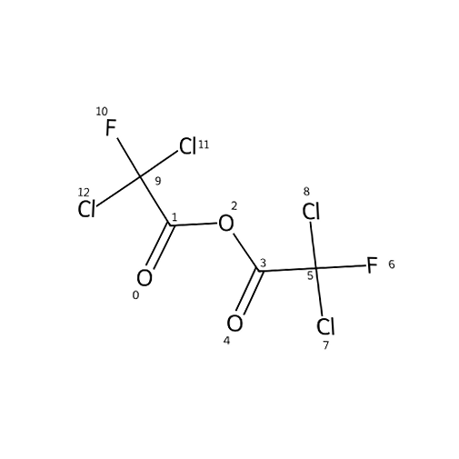 O=C(OC(=O)C(F)(Cl)Cl)C(F)(Cl)Cl